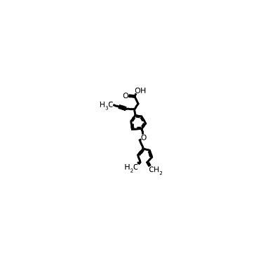 C=C/C=C\C(=C/C=C)COc1ccc(C(C#CC)CC(=O)O)cc1